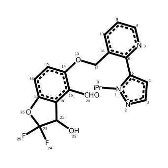 CC(C)n1nccc1-c1ncccc1COc1ccc2c(c1C=O)C(O)C(F)(F)O2